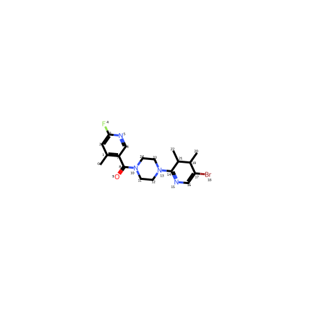 Cc1cc(F)ncc1C(=O)N1CCN(C2=NC=C(Br)C(C)C2C)CC1